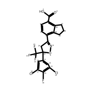 O=C(O)c1ccc(C2=NOC(c3cc(Cl)c(F)c(Cl)c3)(C(F)(F)F)C2)c2c1CCC2